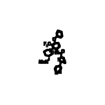 CNC[C@@H]1CCCN(c2c(NC(=O)c3csc(-c4ccnnc4)n3)ccc(Oc3ccccc3)c2C(F)(F)F)C1